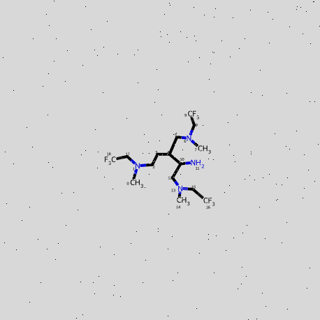 CN(CCC(CN(C)CC(F)(F)F)C(N)CN(C)CC(F)(F)F)CC(F)(F)F